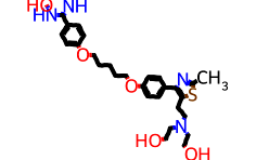 Cc1nc(-c2ccc(OCCCCCOc3ccc(C(=N)NO)cc3)cc2)c(CCN(CCO)CCO)s1